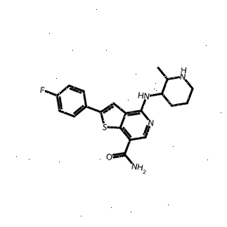 CC1NCCCC1Nc1ncc(C(N)=O)c2sc(-c3ccc(F)cc3)cc12